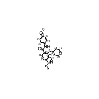 CCn1ncc2c(NC3CCOCC3)c(C(=O)Nc3ccc(OC)cc3)cnc21